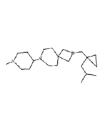 CC(C)CC1(CN2CC3(CCN(C4CCN(C)CC4)CC3)C2)CC1